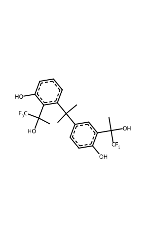 CC(C)(c1ccc(O)c(C(C)(O)C(F)(F)F)c1)c1cccc(O)c1C(C)(O)C(F)(F)F